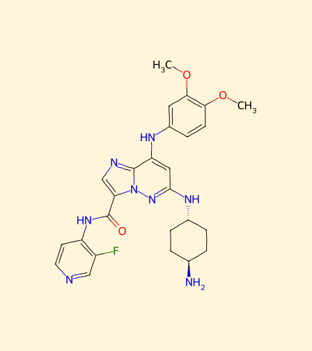 COc1ccc(Nc2cc(N[C@H]3CC[C@H](N)CC3)nn3c(C(=O)Nc4ccncc4F)cnc23)cc1OC